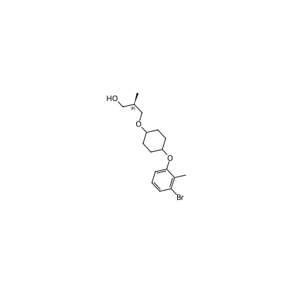 Cc1c(Br)cccc1OC1CCC(OC[C@H](C)CO)CC1